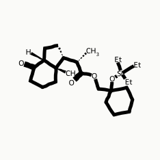 CC[Si](CC)(CC)OC1(COC(=O)[C@@H](C)[C@H]2CC[C@H]3C(=O)CCC[C@@]23C)CCCCC1